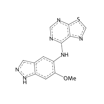 COc1cc2[nH]ncc2cc1Nc1ncnc2scnc12